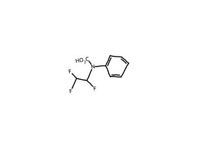 O=C(O)N(c1ccccc1)C(F)C(F)F